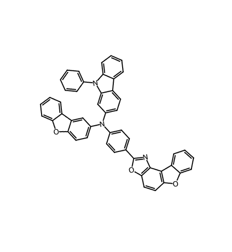 c1ccc(-n2c3ccccc3c3ccc(N(c4ccc(-c5nc6c(ccc7oc8ccccc8c76)o5)cc4)c4ccc5oc6ccccc6c5c4)cc32)cc1